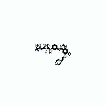 COc1cc2ncnc(Sc3cccc(NC(=O)NC(=N)/C=C(\O)C(C)(C)C)c3)c2cc1OCCN1CCOCC1